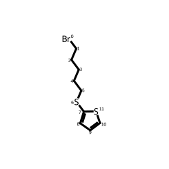 BrCCCCCSc1cccs1